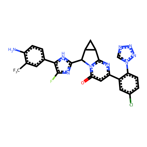 Nc1ccc(-c2[nH]c(C3C4CC4c4nc(-c5cc(Cl)ccc5-n5cnnn5)cc(=O)n43)nc2F)cc1C(F)(F)F